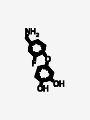 NCc1ccc(Oc2ccc(O)c(O)c2)c(F)c1